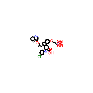 C[C@@H](COc1ccnc2c1[C@H](C)CCC2)C[C@H]1Cc2ccc(OCCCP(=O)(O)O)cc2C12CCC(Nc1cccc(Cl)c1)(C(=O)O)CC2